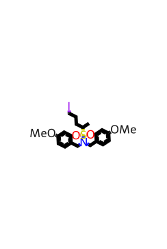 COc1ccc(CN(Cc2ccc(OC)cc2)S(=O)(=O)C(C)CCCI)cc1